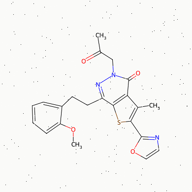 COc1ccccc1CCc1nn(CC(C)=O)c(=O)c2c(C)c(-c3ncco3)sc12